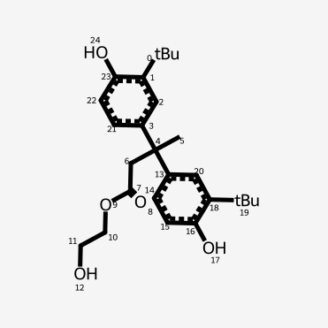 CC(C)(C)c1cc(C(C)(CC(=O)OCCO)c2ccc(O)c(C(C)(C)C)c2)ccc1O